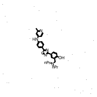 CCCN(CCC)Cc1cc(-c2noc(-c3ccc(Nc4ccnc(C)c4)cc3)n2)ccc1O